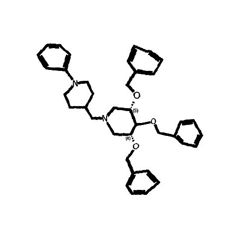 c1ccc(COC2[C@@H](OCc3ccccc3)CN(CC3CCN(c4ccccc4)CC3)C[C@H]2OCc2ccccc2)cc1